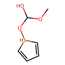 COC(O)O[SH]1C=CC=C1